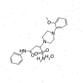 COc1ccccc1N1CCN(C(CC(=O)Nc2ccccc2)S(N)(=O)=O)CC1.O